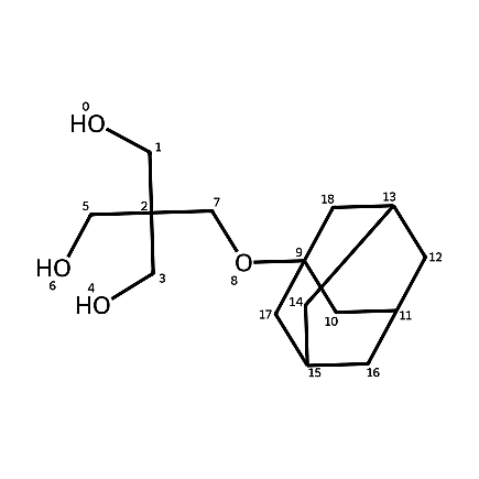 OCC(CO)(CO)COC12CC3CC(CC(C3)C1)C2